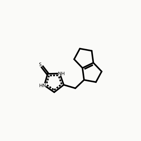 S=c1[nH]cc(CC2CCC3=C2CCC3)[nH]1